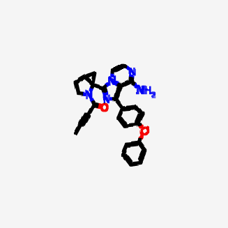 CC#CC(=O)N1CCC2CC21c1nc(-c2ccc(Oc3ccccc3)cc2)c2c(N)nccn12